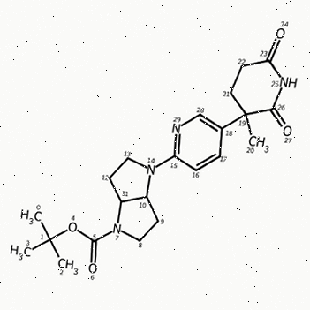 CC(C)(C)OC(=O)N1CCC2C1CCN2c1ccc(C2(C)CCC(=O)NC2=O)cn1